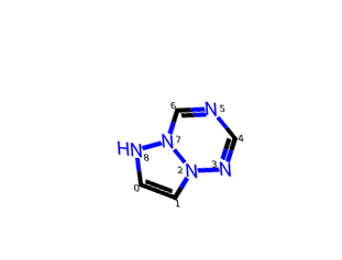 C1=CN2N=CN=CN2N1